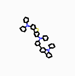 c1ccc(N(c2cccc(-c3ccc4c5ccccc5n(-c5ccccc5)c4c3)c2)c2ccc3c(c2)sc2ccc(N(c4ccccc4)c4ccccc4)cc23)cc1